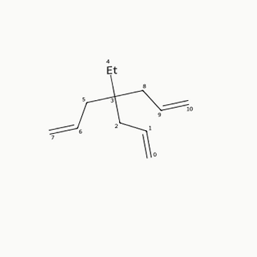 C=CCC(CC)(CC=C)CC=C